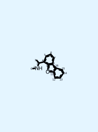 CNC(C)c1cccc2c1oc1ccccc12